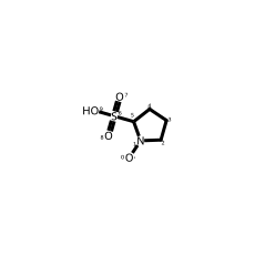 [O]N1CCCC1S(=O)(=O)O